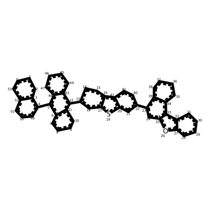 c1ccc2c(-c3c4ccccc4c(-c4ccc5c(c4)sc4cc(-c6cc7oc8ccccc8c7c7ccccc67)ccc45)c4ccccc34)cccc2c1